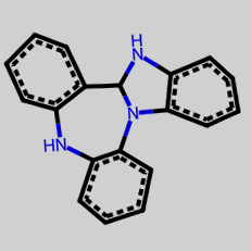 c1ccc2c(c1)Nc1ccccc1N1c3ccccc3NC21